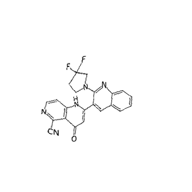 N#Cc1nccc2[nH]c(-c3cc4ccccc4nc3N3CCC(F)(F)C3)cc(=O)c12